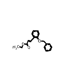 CCOC(=O)/C=C/c1ccccc1OCc1ccccc1